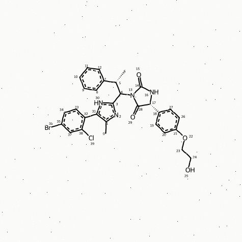 Cc1nc(C([C@@H](C)c2ccccc2)N2C(=O)N[C@H](c3ccc(OCCO)cc3)C2=O)[nH]c1-c1ccc(Br)cc1Cl